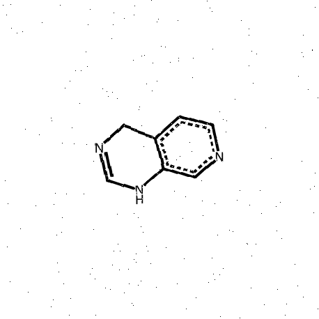 C1=NCc2ccncc2N1